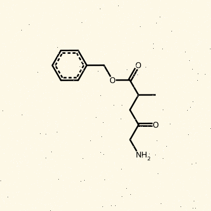 CC(CC(=O)CN)C(=O)OCc1ccccc1